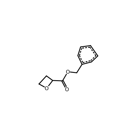 O=C(OCc1ccccc1)C1CCO1